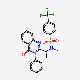 CC(c1nc2ccccc2c(=O)n1-c1ccccc1)N(C)S(=O)(=O)c1ccc(C(F)(F)F)cc1